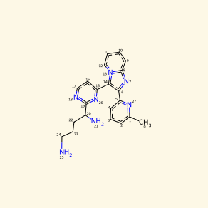 Cc1cccc(-c2nc3ccccn3c2-c2ccnc(C(N)CCCN)n2)n1